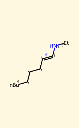 CCCCCCC/C=C/NCC